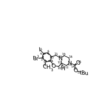 Cc1c(Br)c(I)cc2c1OC[C@H]1CN(C(=O)OC(C)(C)C)CCN1C2